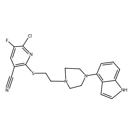 N#Cc1cc(F)c(Cl)nc1SCCN1CCN(c2cccc3[nH]ccc23)CC1